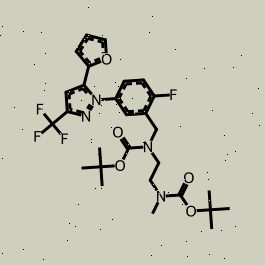 CN(CCN(Cc1cc(-n2nc(C(F)(F)F)cc2-c2ccco2)ccc1F)C(=O)OC(C)(C)C)C(=O)OC(C)(C)C